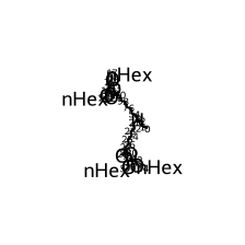 C=CCN(CCCCCCCC(=O)OC(COCCCCCC)COCCCCCC)CCCCCCCC(=O)OC(COCCCCCC)COCCCCCC